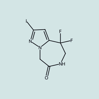 O=C1Cn2nc(I)cc2C(F)(F)CN1